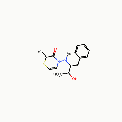 CC(=O)N([C@@H](Cc1ccccc1)C(O)C(=O)O)N1C=CSC(C(C)C)C1=O